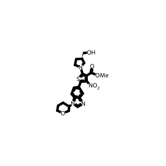 COC(=O)c1c(N2CC[C@H](CO)C2)sc(-c2ccc3c(c2)ncn3C2CCCOC2)c1[N+](=O)[O-]